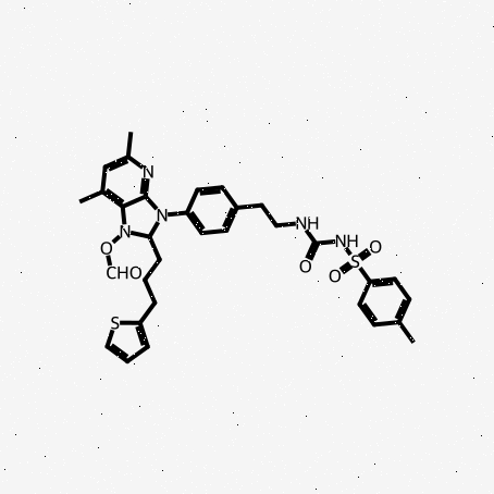 Cc1ccc(S(=O)(=O)NC(=O)NCCc2ccc(N3c4nc(C)cc(C)c4N(OC=O)C3CCCc3cccs3)cc2)cc1